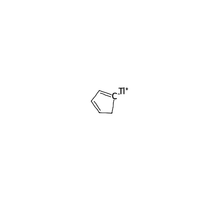 [C-]1=CC=CC1.[Tl+]